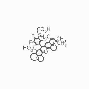 CC1=CC(C)(C)[N+]2=c3c1cc1c(c3CCC2)Oc2c(cc3c4c2CCCN4CCCC3)C=1c1c(F)c(SCC(=O)O)c(F)c(F)c1C(=O)O